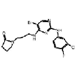 O=C1CCCN1CCCNc1nc(Nc2ccc(F)c(Cl)c2)ncc1Br